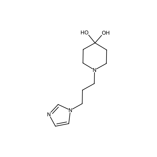 OC1(O)CCN(CCCn2ccnc2)CC1